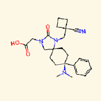 CN(C)[C@]1(c2ccccc2)CC[C@@]2(CC1)CN(CC(=O)O)C(=O)N2CC1(C#N)CCC1